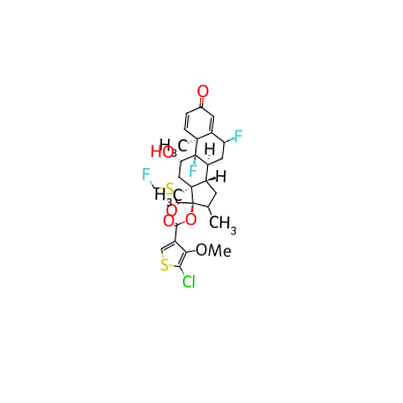 COc1c(C(=O)O[C@]2(C(=O)SCF)C(C)C[C@H]3[C@@H]4C[C@H](F)C5=CC(=O)C=C[C@]5(C)[C@@]4(F)[C@@H](O)C[C@@]32C)csc1Cl